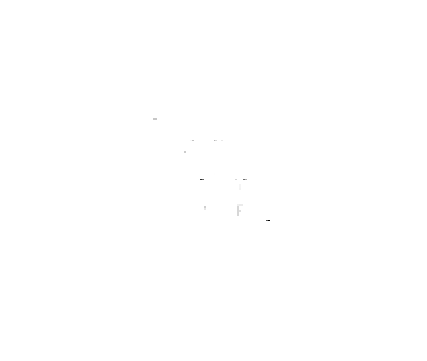 CCc1ccc(OP(=O)(Cl)Cl)cc1